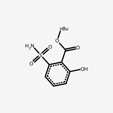 CCCCOC(=O)c1c(O)cccc1S(N)(=O)=O